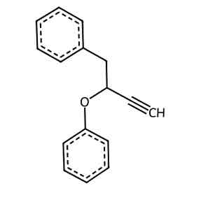 C#CC(Cc1ccccc1)Oc1ccccc1